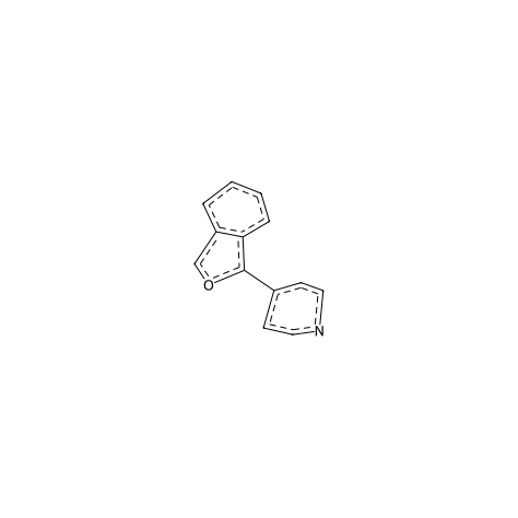 c1ccc2c(-c3ccncc3)occ2c1